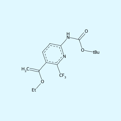 C=C(OCC)c1ccc(NC(=O)OC(C)(C)C)nc1C(F)(F)F